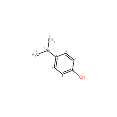 C[Si](C)c1ccc(O)cc1